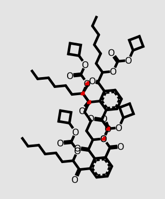 CCCCCCC(OC(=O)OC1CCC1)C(=O)c1cccc(C(=O)OOC(=O)c2cccc(C(=O)C(CCCCCC)OC(=O)OC3CCC3)c2C(=O)C(CCCCCC)OC(=O)OC2CCC2)c1C(=O)C(CCCCCC)OC(=O)OC1CCC1